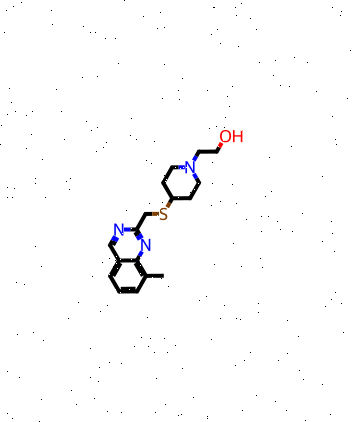 Cc1cccc2cnc(CSC3CCN(CCO)CC3)nc12